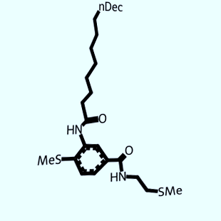 CCCCCCCCCCCCCCCCCC(=O)Nc1cc(C(=O)NCCSC)ccc1SC